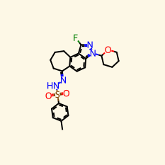 Cc1ccc(S(=O)(=O)N/N=C2\CCCCc3c2ccc2c3c(F)nn2C2CCCCO2)cc1